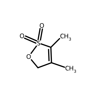 CC1=C(C)S(=O)(=O)OC1